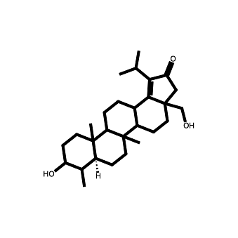 CC(C)C1=C2C3CCC4C(C)(CC[C@H]5C(C)C(O)CCC45C)C3CCC2(CO)CC1=O